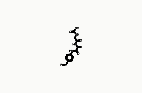 CCCC(=O)NCC(=O)NC(C)C(=O)Nc1ccc(CC(C)C)cc1